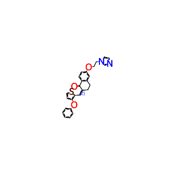 O=C1/C(=C\c2sccc2Oc2ccccc2)CCc2cc(OCCn3ccnc3)ccc21